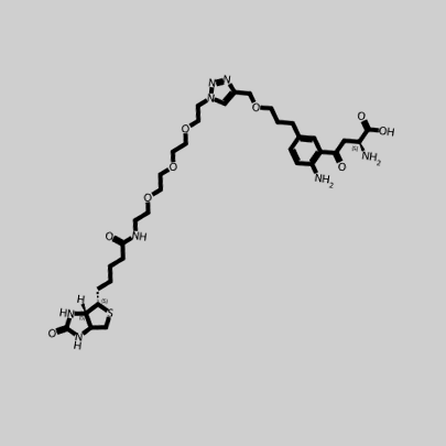 Nc1ccc(CCCOCc2cn(CCOCCOCCOCCNC(=O)CCCC[C@@H]3SCC4NC(=O)N[C@@H]43)nn2)cc1C(=O)C[C@H](N)C(=O)O